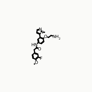 COc1ccc(CC(=O)Nc2ccc(OCCN)c(-c3ccnn3C)c2)cc1F